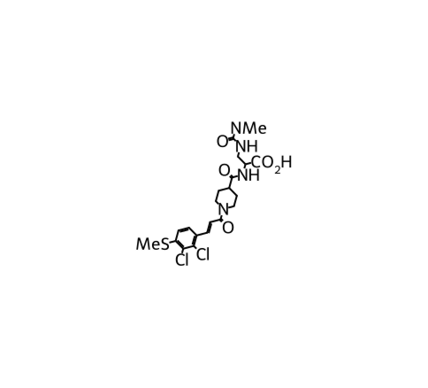 CNC(=O)NCC(NC(=O)C1CCN(C(=O)C=Cc2ccc(SC)c(Cl)c2Cl)CC1)C(=O)O